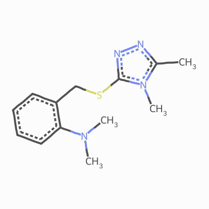 Cc1nnc(SCc2ccccc2N(C)C)n1C